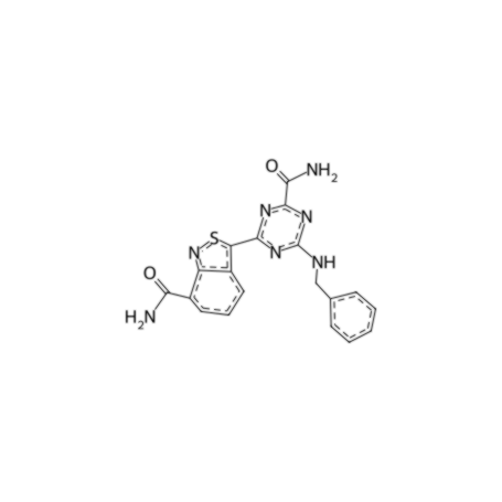 NC(=O)c1nc(NCc2ccccc2)nc(-c2snc3c(C(N)=O)cccc23)n1